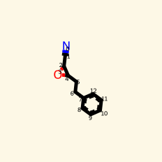 N#CC1OC1CCc1ccccc1